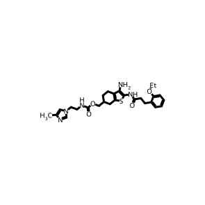 CCOc1ccccc1CCC(=O)Nc1sc2c(c1N)CCC(COC(=O)NCCn1cnc(C)c1)C2